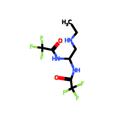 CCNCC(NC(=O)C(F)(F)F)NC(=O)C(F)(F)F